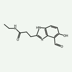 CCNC(=O)CCc1nc2c(C=O)c(O)ccc2[nH]1